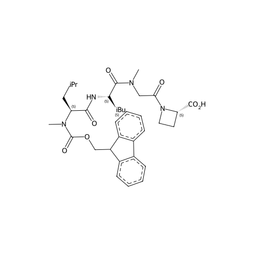 CC[C@H](C)[C@H](NC(=O)[C@H](CC(C)C)N(C)C(=O)OCC1c2ccccc2-c2ccccc21)C(=O)N(C)CC(=O)N1CC[C@H]1C(=O)O